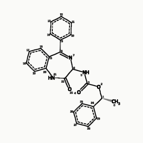 C[C@@H](OC(=O)NC1N=C(c2ccccc2)c2ccccc2NC1=O)c1ccccc1